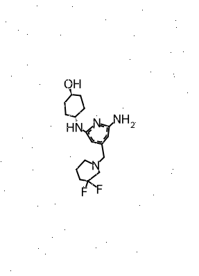 Nc1cc(CN2CCCC(F)(F)C2)cc(N[C@H]2CC[C@H](O)CC2)n1